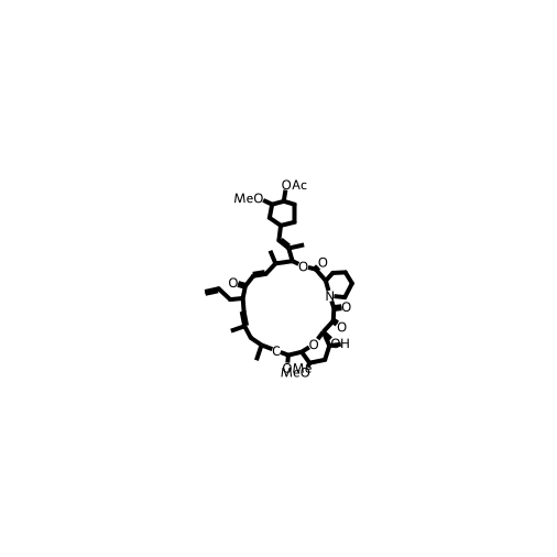 C=CCC1/C=C(\C)CC(C)CC(OC)C2OC(O)(C(=O)C(=O)N3CCCCC3C(=O)OC(C(C)=CC3CCC(OC(C)=O)C(OC)C3)C(C)/C=C/C1=O)C(C)CC2OC